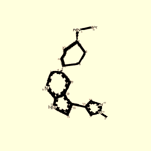 CC(C)N[C@H]1CC[C@H](c2cnc3[nH]cc(-c4cnn(C)c4)c3c2)CC1